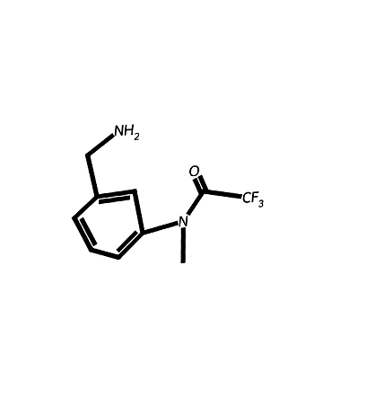 CN(C(=O)C(F)(F)F)c1cccc(CN)c1